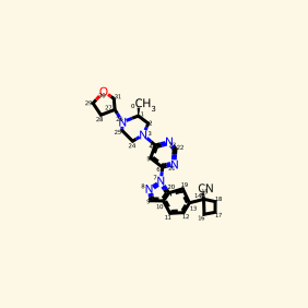 C[C@H]1CN(c2cc(-n3ncc4ccc(C5(C#N)CCC5)cc43)ncn2)CCN1C1CCOC1